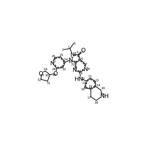 CC(C)n1c(=O)c2cnc(Nc3ccc4c(c3)CCNC4)nc2n1-c1ccnc(OC2CCOC2)c1